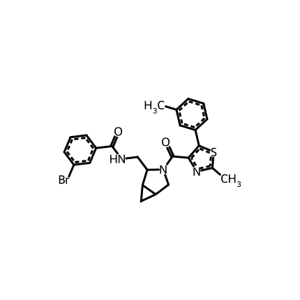 Cc1cccc(-c2sc(C)nc2C(=O)N2CC3CC3C2CNC(=O)c2cccc(Br)c2)c1